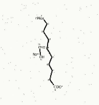 CCCCCCCCCCCCCCCCCC(=O)[O-].O=CO.[Na+]